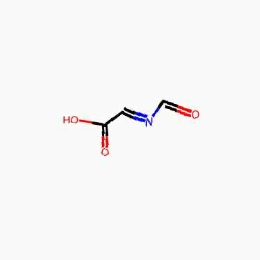 O=CN=CC(=O)O